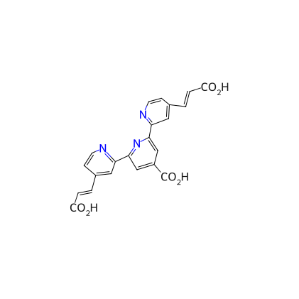 O=C(O)/C=C/c1ccnc(-c2cc(C(=O)O)cc(-c3cc(/C=C/C(=O)O)ccn3)n2)c1